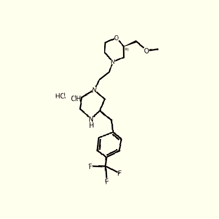 COC[C@H]1CN(CCN2CCNC(Cc3ccc(C(F)(F)F)cc3)C2)CCO1.Cl.Cl